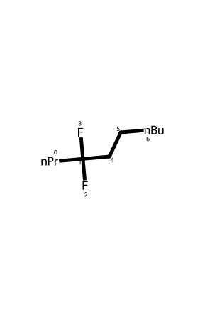 [CH2]CCC(F)(F)CCCCCC